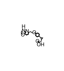 O=C(O)CC1CC1c1ccc(OCCc2ccc3c(n2)NCCO3)cc1